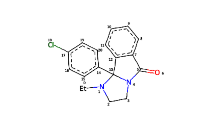 CCN1CCN2C(=O)c3ccccc3C12c1ccc(Cl)cc1